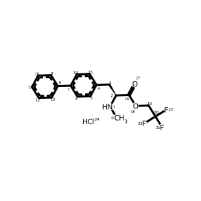 CN[C@@H](Cc1ccc(-c2ccccc2)cc1)C(=O)OCC(F)(F)F.Cl